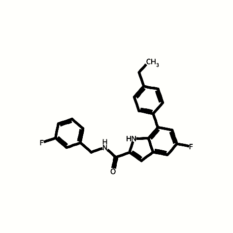 CCc1ccc(-c2cc(F)cc3cc(C(=O)NCc4cccc(F)c4)[nH]c23)cc1